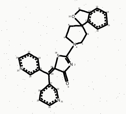 O=C1N=C(N2CCC3(CC2)OCc2ccccc23)SC1=C(c1cccnc1)c1cccnc1